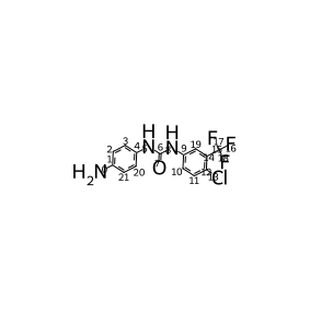 Nc1ccc(NC(=O)Nc2ccc(Cl)c(C(F)(F)F)c2)cc1